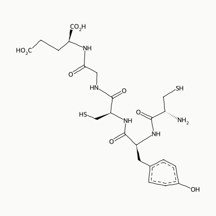 N[C@@H](CS)C(=O)N[C@@H](Cc1ccc(O)cc1)C(=O)N[C@@H](CS)C(=O)NCC(=O)N[C@@H](CCC(=O)O)C(=O)O